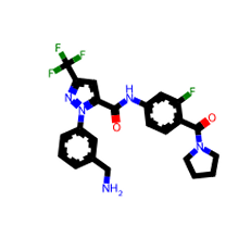 NCc1cccc(-n2nc(C(F)(F)F)cc2C(=O)Nc2ccc(C(=O)N3CCCC3)c(F)c2)c1